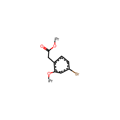 CC(C)OC(=O)Cc1ccc(Br)cc1OC(C)C